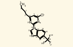 CCCCc1cc(Cl)nc(-n2cnc3cc(C(F)(F)F)ccc32)n1